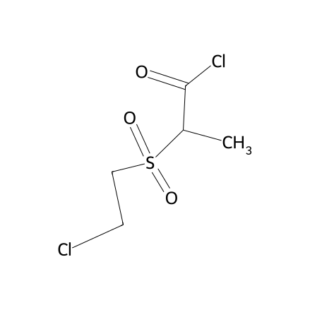 CC(C(=O)Cl)S(=O)(=O)CCCl